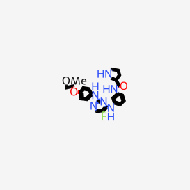 COCCOc1ccc(Nc2ncc(F)c(Nc3cccc(NC(=O)C4CCCNC4)c3)n2)cc1